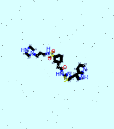 O=C(Cc1cccc(S(=O)(=O)NCCCN2CCNCC2)c1)Nc1nc(-c2c[nH]c3ncccc23)cs1